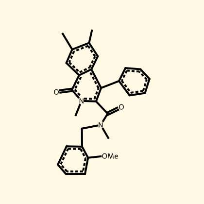 COc1ccccc1CN(C)C(=O)c1c(-c2ccccc2)c2cc(C)c(C)cc2c(=O)n1C